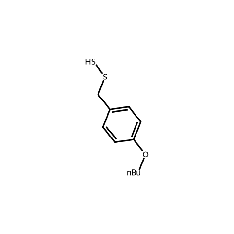 CCCCOc1ccc(CSS)cc1